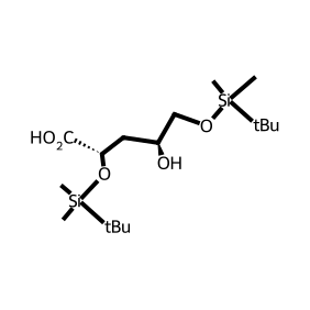 CC(C)(C)[Si](C)(C)OC[C@@H](O)C[C@H](O[Si](C)(C)C(C)(C)C)C(=O)O